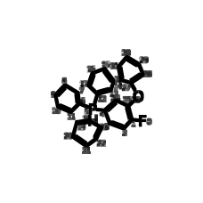 Fc1ccc([PH](c2ccccc2)(c2ccccc2)c2ccccc2)cc1Oc1ccccc1